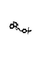 FC(F)(F)c1ccc(CCOc2ncnc3ccccc23)cc1